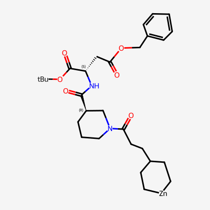 CC(C)(C)OC(=O)[C@H](CC(=O)OCc1ccccc1)NC(=O)[C@@H]1CCCN(C(=O)CCC2C[CH2][Zn][CH2]C2)C1